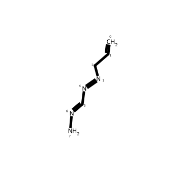 C=CCN=NC=NN